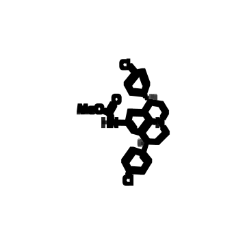 COC(=O)Nc1cc2c3c(c1)[C@H](c1ccc(Cl)cc1)CCN3CC[C@H]2c1ccc(Cl)cc1